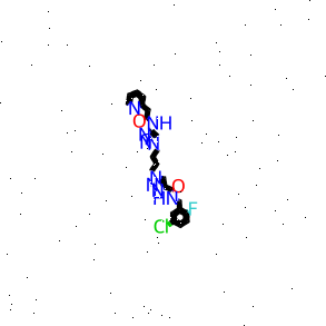 O=C(Cc1ccccn1)Nc1cn(CCCCn2cc(C(=O)NCc3cc(Cl)ccc3F)nn2)nn1